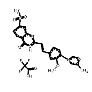 COc1cc(C=Cc2nc3cc(S(C)(=O)=O)ccc3c(=O)[nH]2)ccc1-n1cnc(C)c1.O=C(O)C(F)(F)F